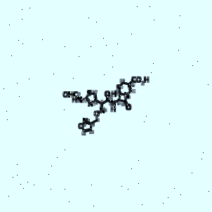 O=CNc1nc(C(=NOCc2ccon2)C(=O)NC2C(=O)N3C=C(C(=O)O)CS[C@H]23)cs1